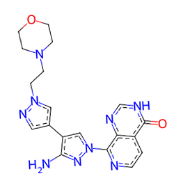 Nc1nn(-c2nccc3c(=O)[nH]cnc23)cc1-c1cnn(CCN2CCOCC2)c1